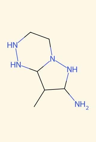 CC1C(N)NN2CCNNC12